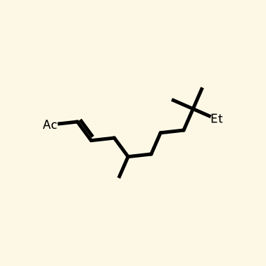 CCC(C)(C)CCCC(C)CC=CC(C)=O